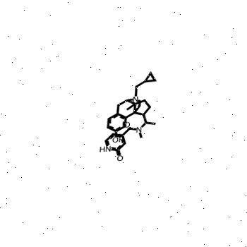 CC(C1CCC2(C)C3Cc4ccc(O)cc4C12CCN3CC1CC1)N(C)C(=O)c1cc[nH]c(=O)c1